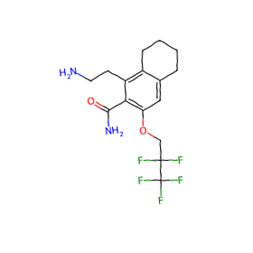 NCCc1c2c(cc(OCC(F)(F)C(F)(F)F)c1C(N)=O)CCCC2